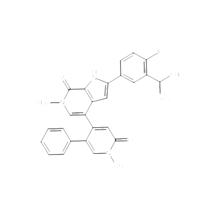 CC(C)c1cc(-c2cc3c(-c4cc(=O)n(C)cc4-c4ccccc4)cn(C)c(=O)c3[nH]2)ccc1F